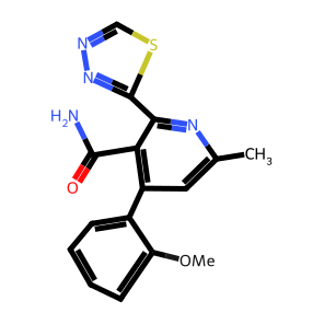 COc1ccccc1-c1cc(C)nc(-c2nncs2)c1C(N)=O